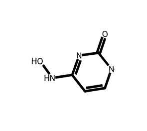 O=C1[N]C=CC(NO)=N1